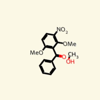 CO.COc1ccc([N+](=O)[O-])c(OC)c1C(=O)c1ccccc1